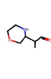 CC(C=O)C1COCCN1